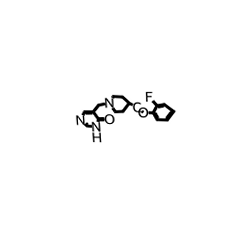 O=c1[nH]cncc1CN1CCC(COc2ccccc2F)CC1